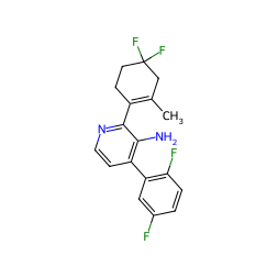 CC1=C(c2nccc(-c3cc(F)ccc3F)c2N)CCC(F)(F)C1